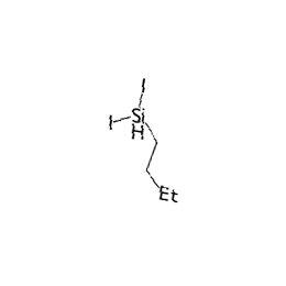 CCCC[SiH](I)I